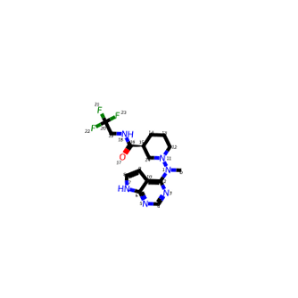 CN(c1ncnc2[nH]ccc12)N1CCC[C@H](C(=O)NCC(F)(F)F)C1